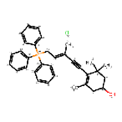 CC(C#CC1=C(C)CC(O)CC1(C)C)=CC[P+](c1ccccc1)(c1ccccc1)c1ccccc1.[Cl-]